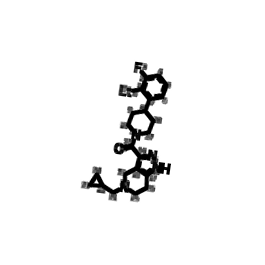 CCc1c(F)cccc1C1CCN(C(=O)c2n[nH]c3c2CN(CC2CC2)CC3)CC1